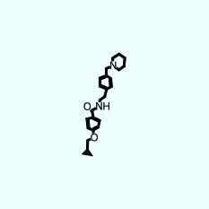 O=C(NCCc1ccc(CN2CCCCC2)cc1)c1ccc(OCC2CC2)cc1